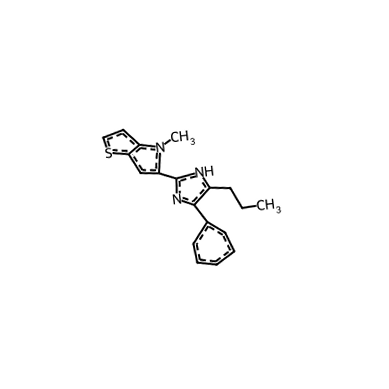 CCCc1[nH]c(-c2cc3sccc3n2C)nc1-c1ccccc1